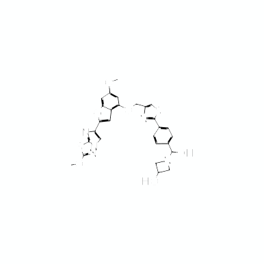 COc1cc(OCc2csc(-c3ccc(C(O)N4CC(O)C4)cc3)n2)c2cc(-c3cn4nc(OC)sc4n3)oc2c1